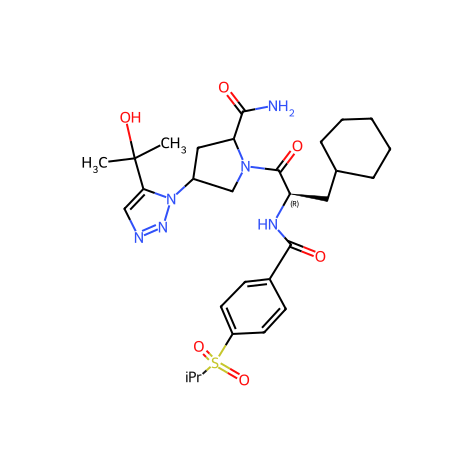 CC(C)S(=O)(=O)c1ccc(C(=O)N[C@H](CC2CCCCC2)C(=O)N2CC(n3nncc3C(C)(C)O)CC2C(N)=O)cc1